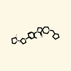 Cc1cc(N2CC[C@@H](N3CCC[C@@H]3C)C2)ccc1N1CCC2(CCN(CC3CCCC3)CC2)C1=O